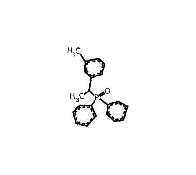 Cc1cccc([C@H](C)P(=O)(c2ccccc2)c2ccccc2)c1